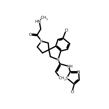 CC=C(Nc1ncc(Cl)s1)N1CC2(CCN(C(=O)CNC)C2)c2cc(Cl)ccc21